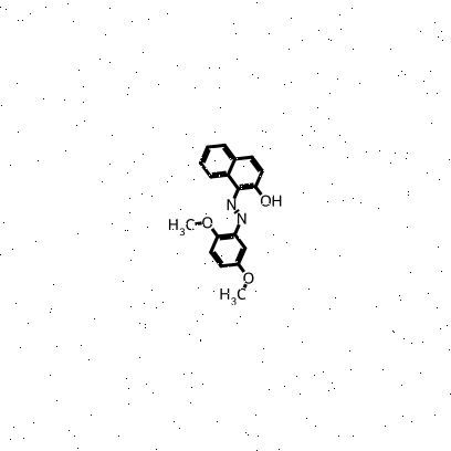 COc1ccc(OC)c(N=Nc2c(O)ccc3ccccc23)c1